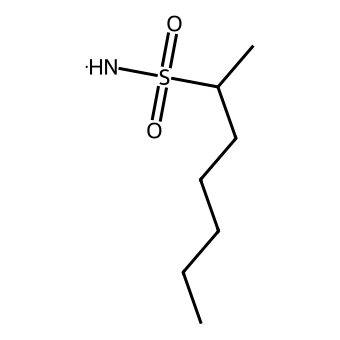 CCCCCC(C)S([NH])(=O)=O